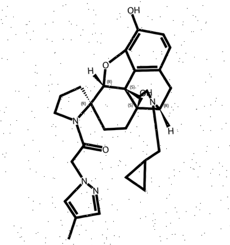 Cc1cnn(CC(=O)N2CCC[C@]23CC[C@@]2(O)[C@H]4Cc5ccc(O)c6c5[C@@]2(CCN4CC2CC2)[C@H]3O6)c1